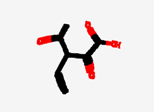 C=CC(C(C)=O)C(=O)C(=O)O